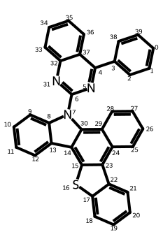 c1ccc(-c2nc(-n3c4ccccc4c4c5sc6ccccc6c5c5ccccc5c43)nc3ccccc23)cc1